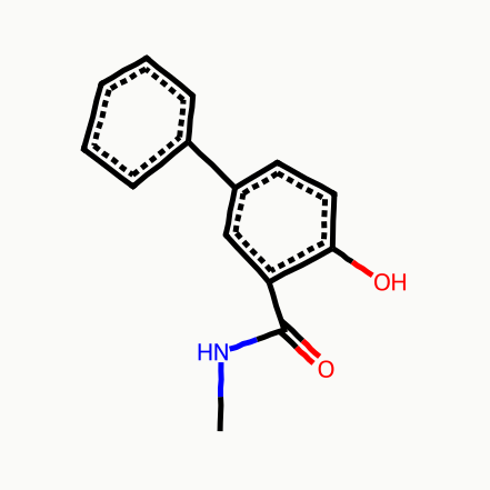 CNC(=O)c1cc(-c2ccccc2)ccc1O